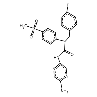 Cc1cnc(NC(=O)C(Cc2ccc(F)cc2)c2ccc(S(C)(=O)=O)cc2)cn1